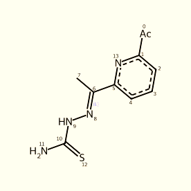 CC(=O)c1cccc(/C(C)=N/NC(N)=S)n1